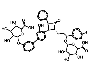 O=C(O)C1O[C@@H](Oc2cccc(-c3ccc([C@@H]4[C@@H](CC[C@H](O[C@@H]5OC(C(=O)O)[C@@H](O)[C@H](O)C5O)c5ccc(F)cc5)C(=O)N4c4ccccc4)c(O)c3)c2)C(O)[C@@H](O)[C@@H]1O